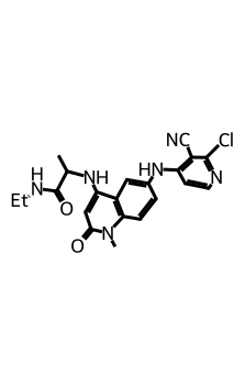 CCNC(=O)C(C)Nc1cc(=O)n(C)c2ccc(Nc3ccnc(Cl)c3C#N)cc12